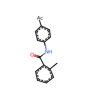 CC(=O)c1ccc(NC(=O)c2ccccc2C)cc1